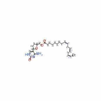 CC/C=C\C/C=C\C/C=C\CCCCCCCC(=O)OC[C@@H]1CC[C@@H](c2c[nH]c(=O)nc2N)O1